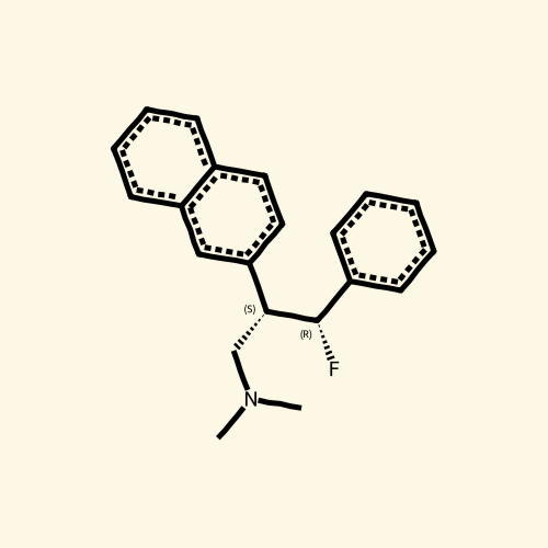 CN(C)C[C@H](c1ccc2ccccc2c1)[C@@H](F)c1ccccc1